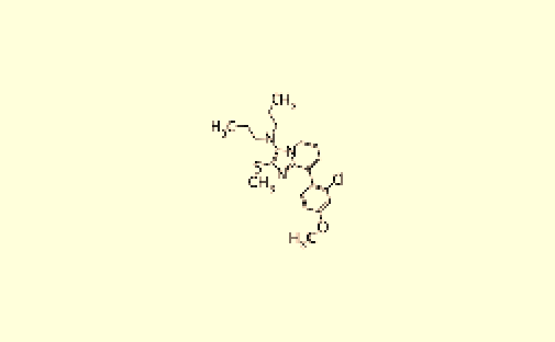 CCCN(CCC)c1c(SC)nc2c(-c3ccc(OC)cc3Cl)cccn12